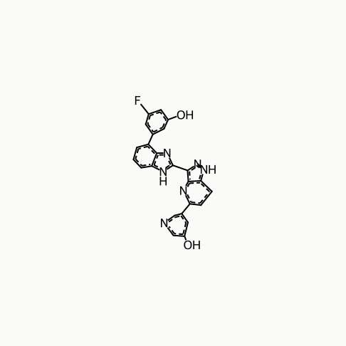 Oc1cncc(-c2ccc3[nH]nc(-c4nc5c(-c6cc(O)cc(F)c6)cccc5[nH]4)c3n2)c1